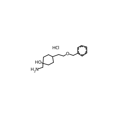 Cl.NCC1(O)CCC(CCOCc2ccccc2)CC1